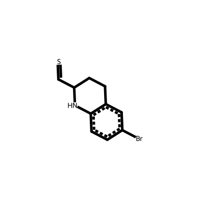 S=CC1CCc2cc(Br)ccc2N1